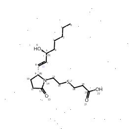 CCCCC[C@H](O)/C=C/[C@H]1CCC(=O)N1CCSCCC(=O)O